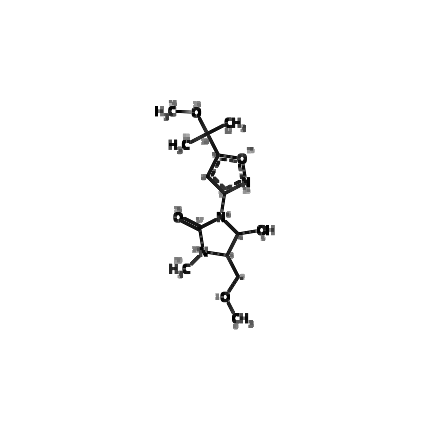 COCC1C(O)N(c2cc(C(C)(C)OC)on2)C(=O)N1C